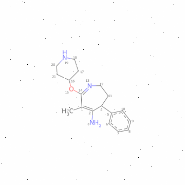 CC1=C(N)C(c2ccccc2)CCN=C1OC1CCNCC1